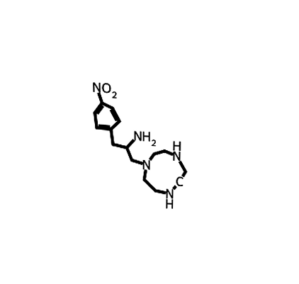 NC(Cc1ccc([N+](=O)[O-])cc1)CN1CCNCCNCC1